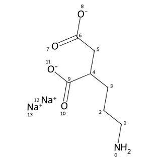 NCCCC(CC(=O)[O-])C(=O)[O-].[Na+].[Na+]